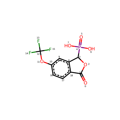 O=C1OC(P(=O)(O)O)c2cc(OC(F)(F)F)ccc21